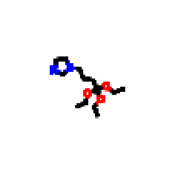 CCO[Si](CCCN1CC=NC1)(OCC)OCC